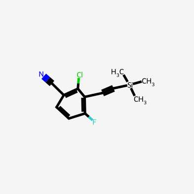 C[Si](C)(C)C#Cc1c(F)ccc(C#N)c1Cl